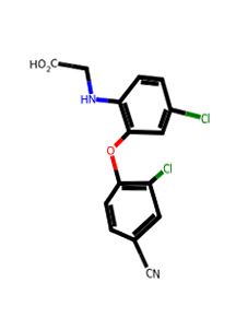 N#Cc1ccc(Oc2cc(Cl)ccc2NCC(=O)O)c(Cl)c1